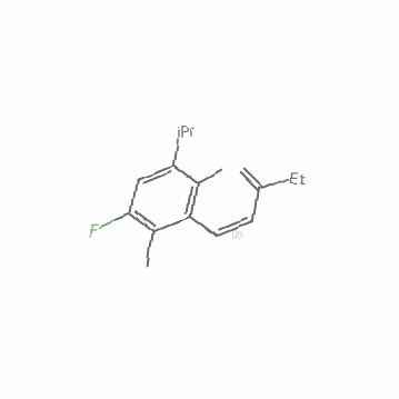 C=C(/C=C\c1c(C)c(F)cc(C(C)C)c1C)CC